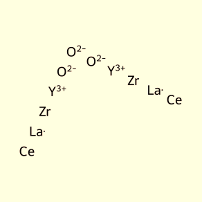 [Ce].[Ce].[La].[La].[O-2].[O-2].[O-2].[Y+3].[Y+3].[Zr].[Zr]